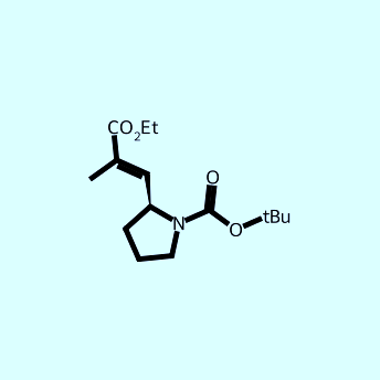 CCOC(=O)C(C)=C[C@@H]1CCCN1C(=O)OC(C)(C)C